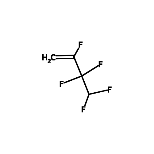 C=C(F)C(F)(F)C(F)F